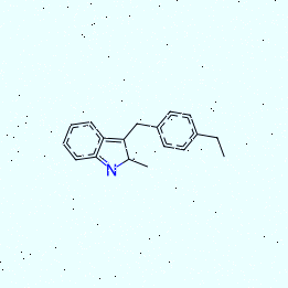 CCc1ccc(CC2=c3ccccc3=N[C]2C)cc1